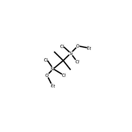 CCO[Si](Cl)(Cl)C(C)(C)[Si](Cl)(Cl)OCC